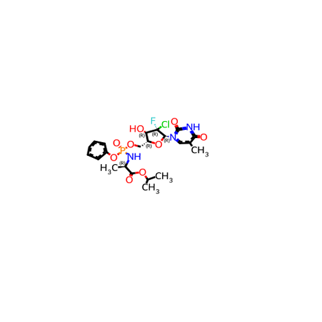 Cc1cn([C@@H]2O[C@H](COP(=O)(N[C@H](C)C(=O)OC(C)C)Oc3ccccc3)[C@@H](O)[C@@]2(F)Cl)c(=O)[nH]c1=O